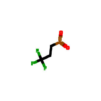 O=[SH](=O)CCC(F)(F)F